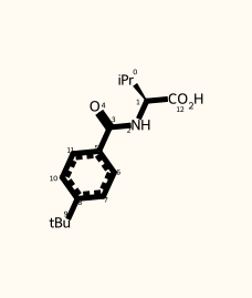 CC(C)[C@H](NC(=O)c1ccc(C(C)(C)C)cc1)C(=O)O